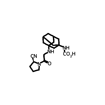 N#C[C@@H]1CCCN1C(=O)CNC12CC3CC(C1)CC(NC(=O)O)(C3)C2